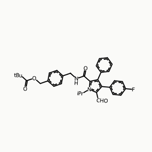 CC(C)n1c(C=O)c(-c2ccc(F)cc2)c(-c2ccccc2)c1C(=O)NCc1ccc(COC(=O)C(C)(C)C)cc1